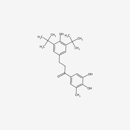 Cc1cc(C(=O)CCc2cc(C(C)(C)C)c(O)c(C(C)(C)C)c2)cc(O)c1O